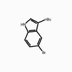 CCCCc1c[nH]c2ccc(Br)cc12